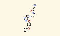 CN(C)CC=CC(=O)N1CCCC(Cn2ccc3ncnc(Oc4ccc(Oc5ccccc5)cc4)c32)C1